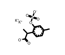 Cc1ccc(C(C)C(=O)[O-])c(OS(=O)(=O)[O-])c1.[K+].[K+]